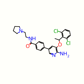 CC(Oc1cc(-c2ccc(C(=O)NCCN3CCCC3)cc2)cnc1N)c1c(Cl)cccc1Cl